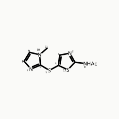 CC(=O)Nc1ncc(Sc2nccn2C)s1